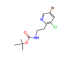 CC(C)(C)OC(=O)NCCc1ncc(Br)cc1Cl